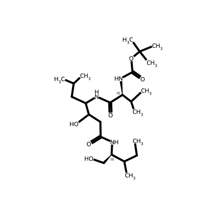 CCC(C)[C@@H](CO)NC(=O)CC(O)C(CC(C)C)NC(=O)[C@@H](NC(=O)OC(C)(C)C)C(C)C